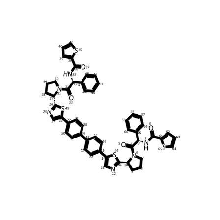 O=C(N[C@H](C(=O)N1CCC[C@H]1c1ncc(-c2ccc(-c3ccc(-c4cnc([C@@H]5CCCN5C(=O)[C@H](NC(=O)c5cccs5)c5ccccc5)s4)cc3)cc2)s1)c1ccccc1)c1cccs1